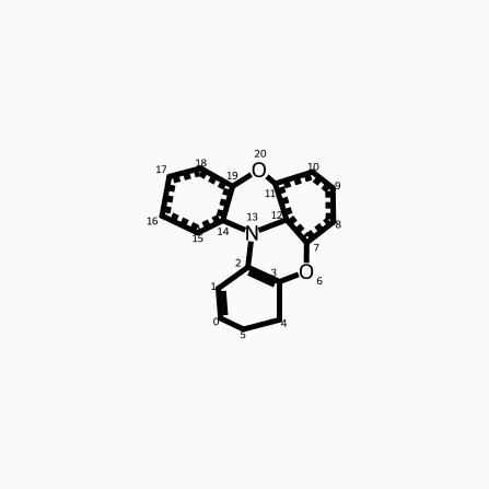 C1=CC2=C(CC1)Oc1cccc3c1N2c1ccccc1O3